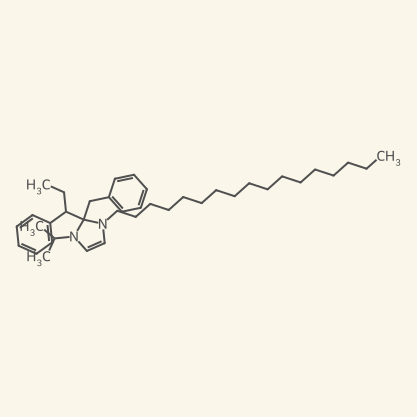 CCCCCCCCCCCCCCCCCN1C=CN(C(C)C)C1(Cc1ccccc1)C(CC)c1ccccc1